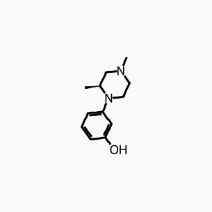 C[C@H]1CN(C)CCN1c1cccc(O)c1